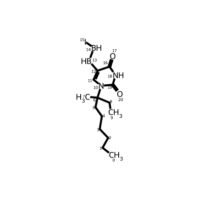 CCCCCCC(C)(CC)n1cc(BBI)c(=O)[nH]c1=O